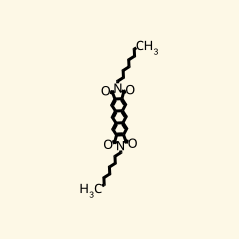 CCCCCCCCn1c(=O)c2cc3cc4cc5c(=O)n(CCCCCCCC)c(=O)c5cc4cc3cc2c1=O